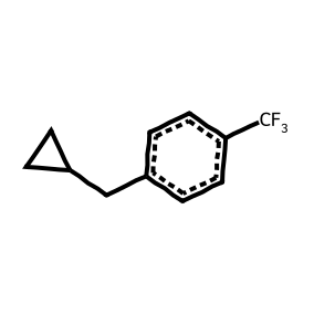 FC(F)(F)c1ccc(CC2CC2)cc1